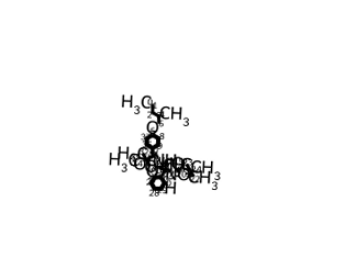 CCCC(C)COc1ccc([C@@H](NC(=O)[C@](C)(NC(=O)OC(C)(C)C)c2ccccc2)C(C)(C)OC)cc1